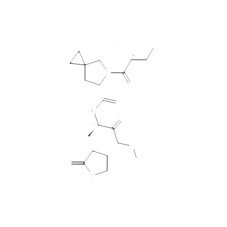 CC(C)C[C@@H](O)C(=O)N1CC2(CC2)C[C@H]1C(=O)N[C@H](C[C@@H]1CCNC1=O)C(=O)COC(F)(F)F